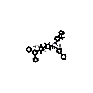 C/C(=N\C(NC(N)c1ccc(-c2ccccc2)cc1)c1c(C)c(C)c2c(sc3c(C)c(-c4cc(-c5ccccc5)cc(-c5ccccc5)c4)c(O)c(C)c32)c1C)c1ccc2c(c1)C(C)(C)c1ccccc1-2